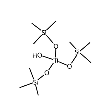 C[Si](C)(C)[O][Ti]([OH])([O][Si](C)(C)C)[O][Si](C)(C)C